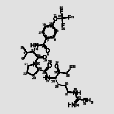 CC(C)[C@H](NC(=O)c1ccc(OC(F)(F)F)cc1)C(=O)N1CCC[C@H]1C(=O)N[C@@H](CCCNC(=N)N)C(=O)CF